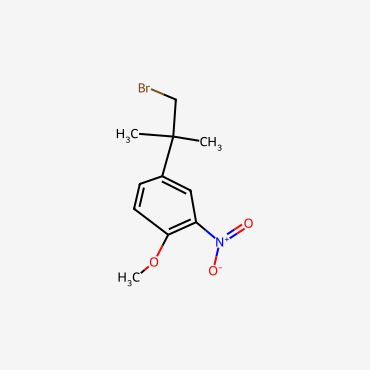 COc1ccc(C(C)(C)CBr)cc1[N+](=O)[O-]